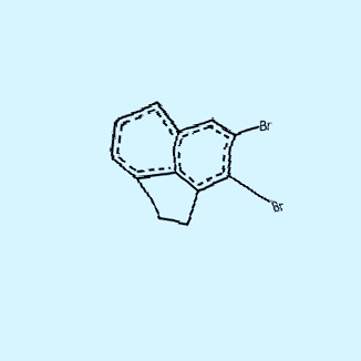 Brc1cc2cccc3c2c(c1Br)CC3